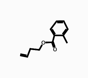 C=CCCOC(=O)c1ccccc1C